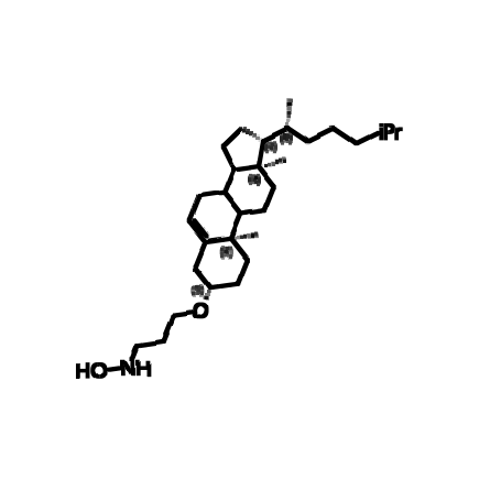 CC(C)CCC[C@@H](C)[C@H]1CCC2C3CC=C4C[C@@H](OCCCNO)CC[C@]4(C)C3CC[C@@]21C